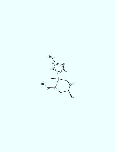 C[C@H]1C[C@@H](CO)[C@](C)(c2nc(Br)cs2)CO1